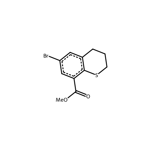 COC(=O)c1cc(Br)cc2c1SCCC2